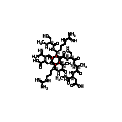 CNC(=O)[C@H](CC(=O)O)NC(=O)[C@H](C)NC(=O)[C@H](CO)NC(=O)[C@H](CCCNC(=N)N)NC(=O)[C@H](CCCNC(=N)N)NC(=O)[C@H](C)NC(=O)[C@H](CCC(=O)O)NC(=O)[C@H](CCCNC(=N)N)NC(=O)[C@H](CO)NC